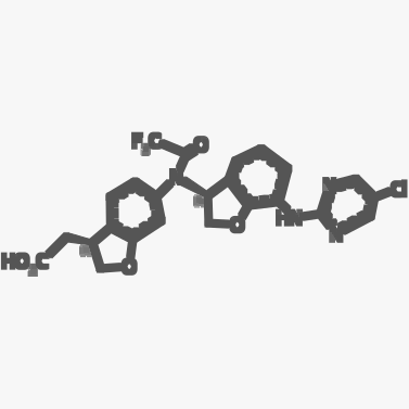 O=C(O)C[C@@H]1COc2cc(N(C(=O)C(F)(F)F)[C@@H]3COc4c(Nc5ncc(Cl)cn5)cccc43)ccc21